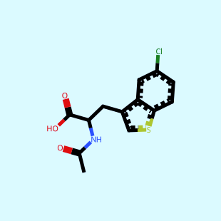 CC(=O)NC(Cc1csc2ccc(Cl)cc12)C(=O)O